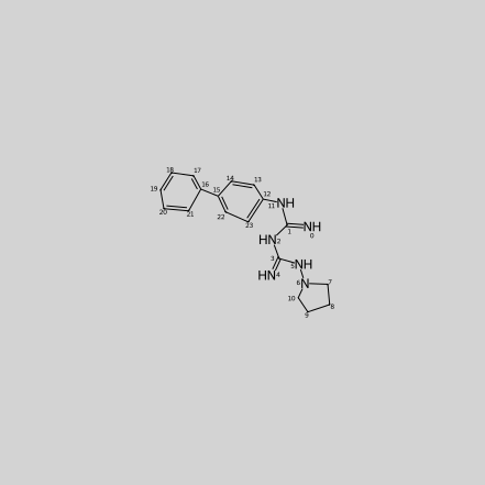 N=C(NC(=N)NN1CCCC1)Nc1ccc(-c2ccccc2)cc1